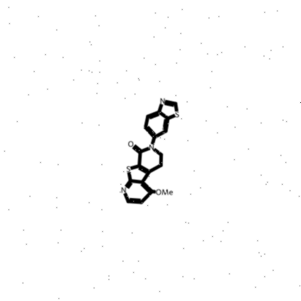 COc1ccnc2sc3c(c12)CCN(c1ccc2ncsc2c1)C3=O